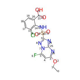 CCOc1cc(F)n2nc(S(=O)(=O)Nc3c(Cl)cccc3C(=O)O)nc2n1